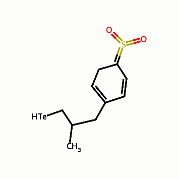 CC(C[TeH])CC1=CCC(=S(=O)=O)C=C1